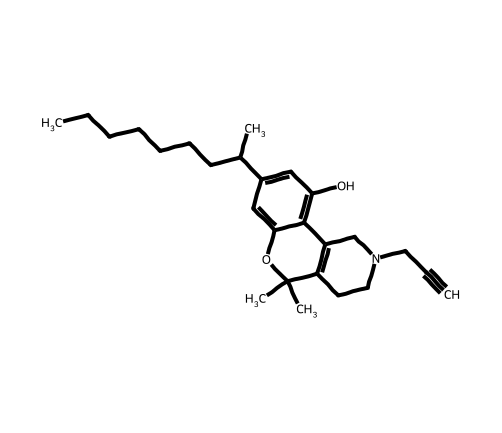 C#CCN1CCC2=C(C1)c1c(O)cc(C(C)CCCCCCC)cc1OC2(C)C